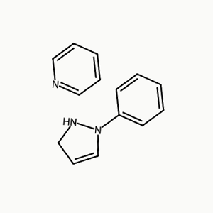 C1=CN(c2ccccc2)NC1.c1ccncc1